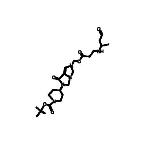 CC(CC=O)NCCC(=O)OCN1C=C2C(=O)N(C3CCN(C(=O)OC(C)(C)C)CC3)CN2C1